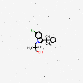 CC(C)(CO)Cn1cc(C(C)(C#N)C2CCCC2)c2ccc(Br)cc21